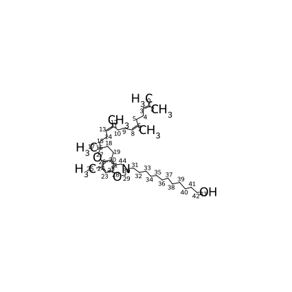 CC(C)=CCCC(C)=CCCC(C)=CCCC1(C)CCc2c3c(cc(C)c2O1)OCN(CCCCCCCCCCCCO)C3